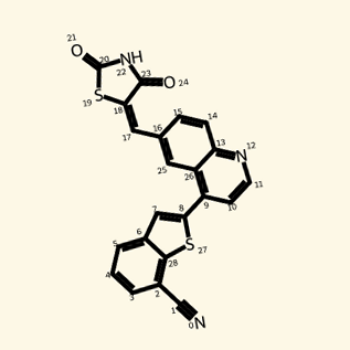 N#Cc1cccc2cc(-c3ccnc4ccc(/C=C5/SC(=O)NC5=O)cc34)sc12